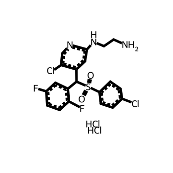 Cl.Cl.NCCNc1cc(C(c2cc(F)ccc2F)S(=O)(=O)c2ccc(Cl)cc2)c(Cl)cn1